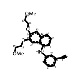 C#Cc1cccc(Nc2cccc3cc(OCCOC)c(OCCOC)cc23)c1